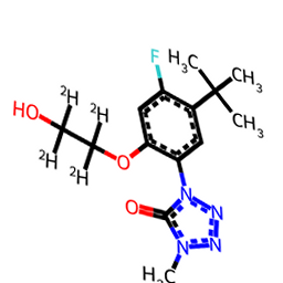 [2H]C([2H])(O)C([2H])([2H])Oc1cc(F)c(C(C)(C)C)cc1-n1nnn(C)c1=O